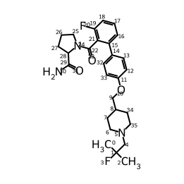 CC(C)(F)CN1CCC(COc2ccc(-c3cccc(F)c3C(=O)N3CCCC3C(N)=O)cc2)CC1